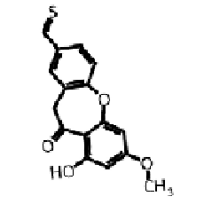 COc1cc(O)c2c(c1)Oc1ccc(C=S)cc1CC2=O